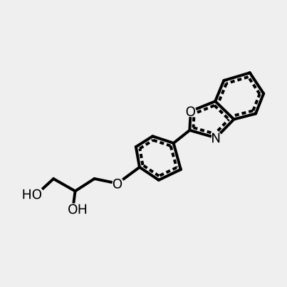 OCC(O)COc1ccc(-c2nc3ccccc3o2)cc1